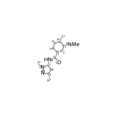 CNc1cc(C(=O)Nc2cc(C)nn2C)ccc1C